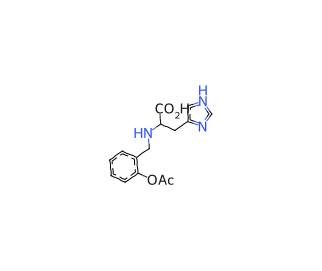 CC(=O)Oc1ccccc1CNC(Cc1c[nH]cn1)C(=O)O